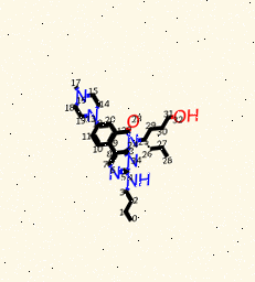 CCCCNc1ncc2c3ccc(N4CCN(C)CC4)cc3c(=O)n([C@@H](CCC)CCCO)c2n1